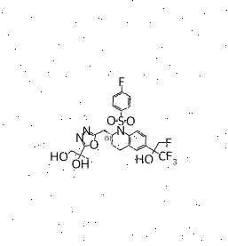 CC(O)(CO)c1nnc(C[C@@H]2CCc3cc(C(O)(CF)C(F)(F)F)ccc3N2S(=O)(=O)c2ccc(F)cc2)o1